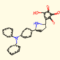 O=c1c(O)c(C2CC=C(c3ccc(N(c4ccccc4)c4ccccc4)cc3)N2)c(=O)c1=O